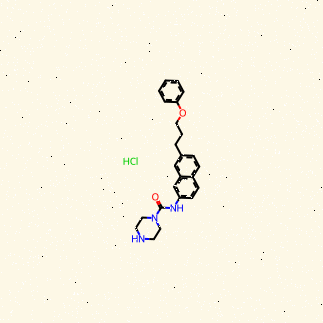 Cl.O=C(Nc1ccc2ccc(CCCOc3ccccc3)cc2c1)N1CCNCC1